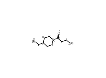 CC(C)CCC(=O)N1CCC(CBr)CC1